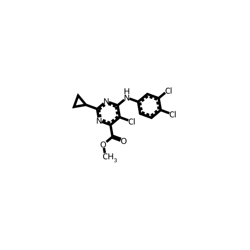 COC(=O)c1nc(C2CC2)nc(Nc2ccc(Cl)c(Cl)c2)c1Cl